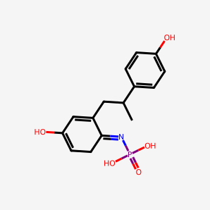 CC(CC1=CC(O)=CCC1=NP(=O)(O)O)c1ccc(O)cc1